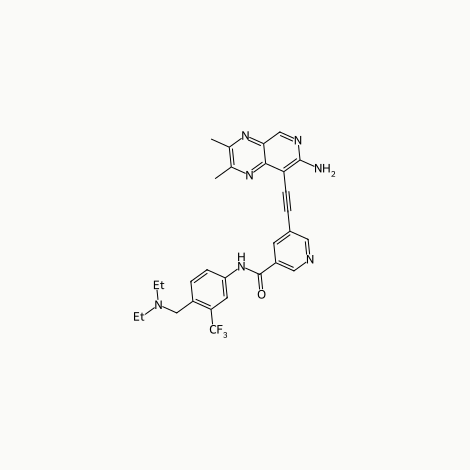 CCN(CC)Cc1ccc(NC(=O)c2cncc(C#Cc3c(N)ncc4nc(C)c(C)nc34)c2)cc1C(F)(F)F